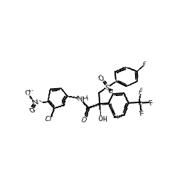 O=C(Nc1ccc([N+](=O)[O-])c(Cl)c1)C(O)(CS(=O)(=O)c1ccc(F)cc1)c1ccc(C(F)(F)F)cc1